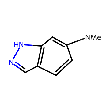 CNc1ccc2cn[nH]c2c1